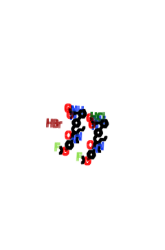 Br.CCCc1nc(C)n(-c2ccc(OC(C)CF)cc2)c(=O)c1Cc1ccc(-c2ccccc2-c2noc(=O)[nH]2)cc1.CCCc1nc(C)n(-c2ccc(OC(C)CF)cc2)c(=O)c1Cc1ccc(-c2ccccc2-c2noc(=O)[nH]2)cc1.Cl